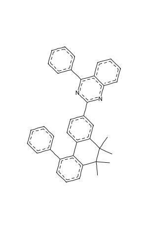 CC1(C)c2cc(-c3nc(-c4ccccc4)c4ccccc4n3)ccc2-c2c(-c3ccccc3)cccc2C1(C)C